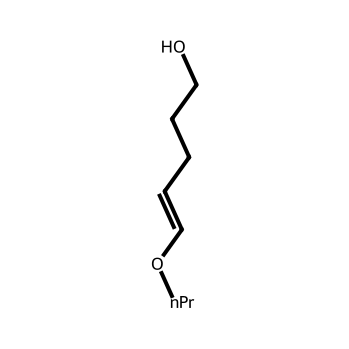 CCCOC=CCCCO